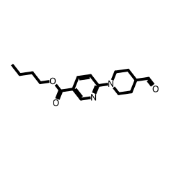 CCCCOC(=O)c1ccc(N2CCC(C=O)CC2)nc1